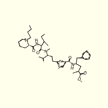 CCCCN1CCCC[C@@H]1C(=O)NC(C(=O)N(C)C(CCc1nc(C(=O)NC(Cc2ccccc2)CC(C)C(=O)OC)cs1)C(C)C)C(C)CC